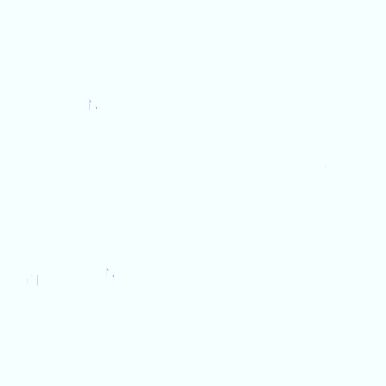 COc1ccc(Oc2cc(C#N)cc(Cl)n2)cc1